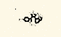 Cc1cc(C2=C(c3c[nH]c4cc(C(F)(F)F)ccc34)C(=O)NC2=O)c2c(ccn2C)c1